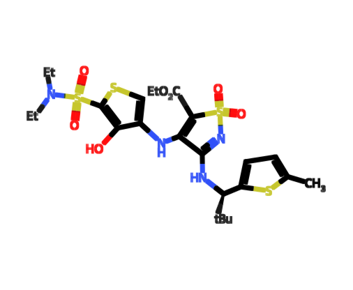 CCOC(=O)C1=C(Nc2csc(S(=O)(=O)N(CC)CC)c2O)C(N[C@@H](c2ccc(C)s2)C(C)(C)C)=NS1(=O)=O